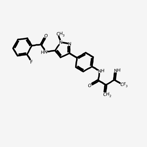 C=C(C(=N)C(F)(F)F)C(=O)Nc1ccc(-c2cc(NC(=O)c3ccccc3F)n(C)n2)cc1